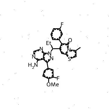 CCC(c1cc2scc(C)n2c(=O)c1-c1cccc(F)c1)n1nc(-c2ccc(OC)c(F)c2)c2c(N)ncnc21